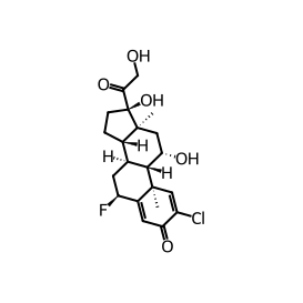 C[C@]12C=C(Cl)C(=O)C=C1[C@@H](F)C[C@@H]1[C@@H]2[C@@H](O)C[C@@]2(C)[C@H]1CC[C@]2(O)C(=O)CO